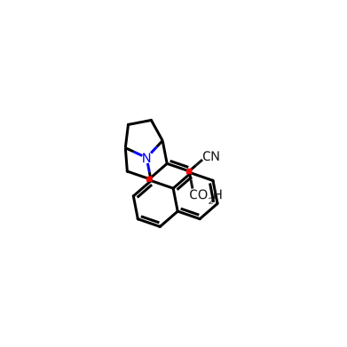 N#CC(C(=O)O)=C1CCC2CCC1N2c1cccc2ccccc12